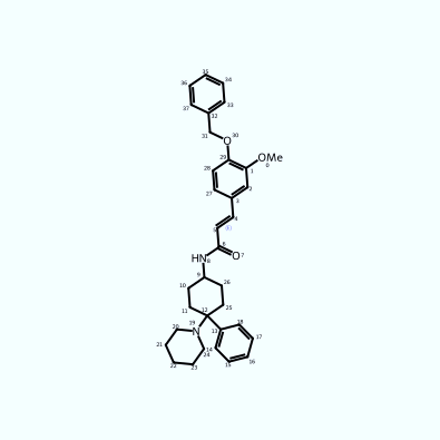 COc1cc(/C=C/C(=O)NC2CCC(c3ccccc3)(N3CCCCC3)CC2)ccc1OCc1ccccc1